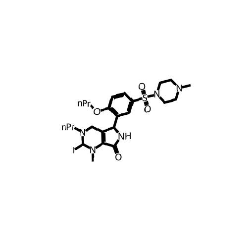 CCCOc1ccc(S(=O)(=O)N2CCN(C)CC2)cc1C1NC(=O)C2=C1CN(CCC)C(I)N2C